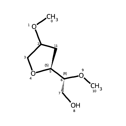 COC1CO[C@H]([C@@H](CO)OC)C1